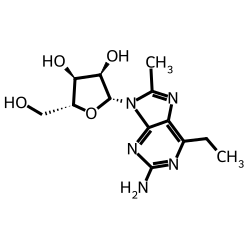 CCc1nc(N)nc2c1nc(C)n2[C@@H]1O[C@H](CO)[C@@H](O)[C@H]1O